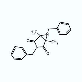 CC12C(=O)N(Cc3ccccc3)C(=O)C1(C)N2Cc1ccccc1